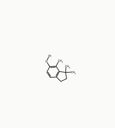 CCOc1ccc2c(c1C)C(C)(C)CC2